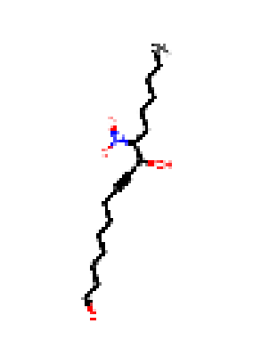 CCCCCCC(C(O)C#CCCCCCC[C]=O)[N+](=O)[O-]